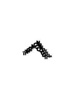 [C-]#N.[C-]#N.[C-]#N.[C-]#N.[O-2].[O-2].[O-2].[O-2].[Ti+4].[Ti+4].[Ti+4]